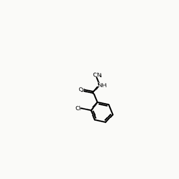 N#CNC(=O)c1ccccc1Cl